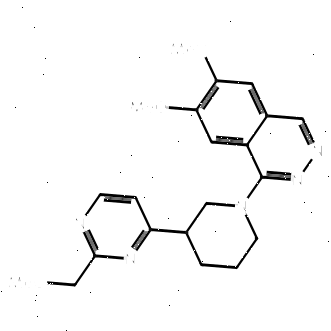 COCc1nccc(C2CCCN(c3nncc4cc(OC)c(OC)cc34)C2)n1